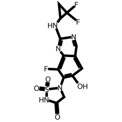 O=C1CN(c2c(O)cc3cnc(NC4CC4(F)F)nc3c2F)S(=O)(=O)N1